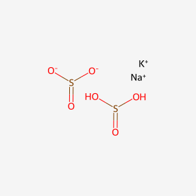 O=S(O)O.O=S([O-])[O-].[K+].[Na+]